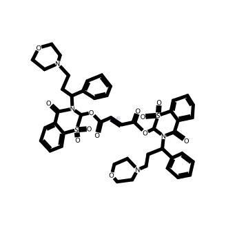 O=C(/C=C/C(=O)OC1N(C(CCN2CCOCC2)c2ccccc2)C(=O)c2ccccc2S1(=O)=O)OC1N(C(CCN2CCOCC2)c2ccccc2)C(=O)c2ccccc2S1(=O)=O